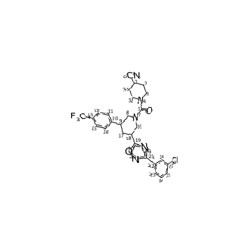 N#CC1CCN(C(=O)N2CC(c3ccc(C(F)(F)F)cc3)CC(c3nc(-c4cccc(Cl)c4)no3)C2)CC1